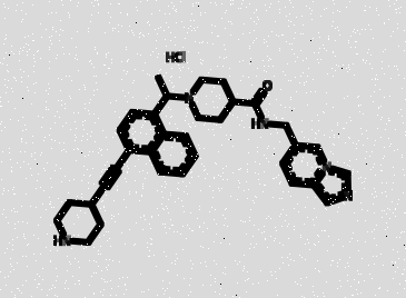 CC(c1ccc(C#CC2CCNCC2)c2ccccc12)N1CCC(C(=O)NCc2ccc3cncn3c2)CC1.Cl